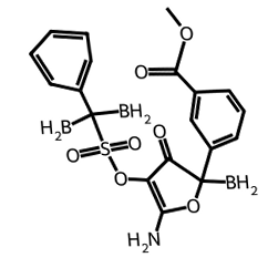 BC1(c2cccc(C(=O)OC)c2)OC(N)=C(OS(=O)(=O)C(B)(B)c2ccccc2)C1=O